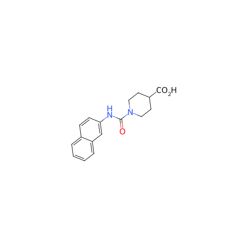 O=C(O)C1CCN(C(=O)Nc2ccc3ccccc3c2)CC1